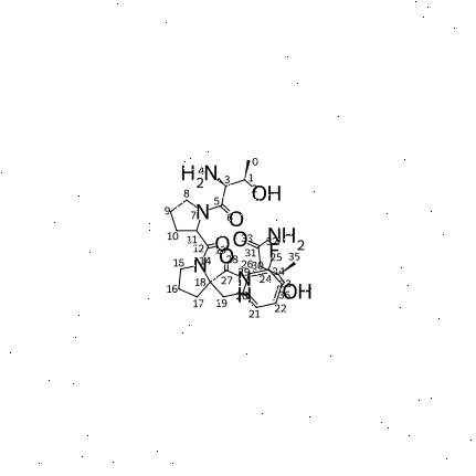 C[C@@H](O)[C@H](N)C(=O)N1CCCC1C(=O)N1CCCC1(Cc1cccc(F)c1)C(=O)N[C@H](C(N)=O)[C@@H](C)O